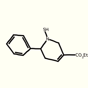 CCOC(=O)C1=CCC(c2ccccc2)N(S)C1